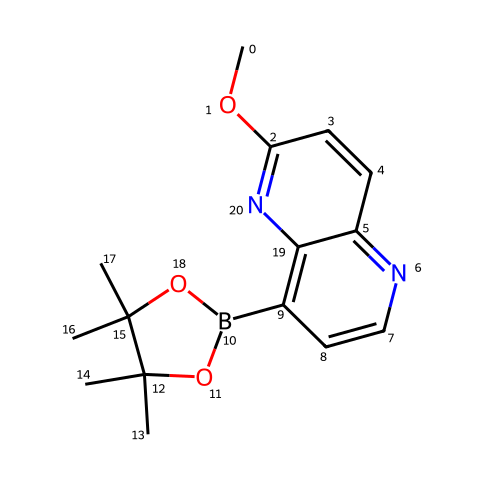 COc1ccc2nccc(B3OC(C)(C)C(C)(C)O3)c2n1